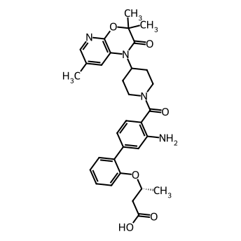 Cc1cnc2c(c1)N(C1CCN(C(=O)c3ccc(-c4ccccc4O[C@H](C)CC(=O)O)cc3N)CC1)C(=O)C(C)(C)O2